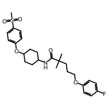 CC(C)(CCCOc1ccc(F)cc1)C(=O)NC1CCC(Oc2ccc(S(C)(=O)=O)cc2)CC1